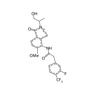 COc1ccc2c(=O)n(C(C)CO)ccc2c1NC(=O)Cc1ccc(C(F)(F)F)c(F)c1